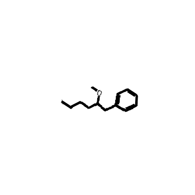 CCCCC(Cc1ccccc1)OC